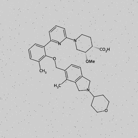 CO[C@@H]1CN(c2cccc(-c3cccc(C)c3OCc3ccc4c(c3C)CN(C3CCOCC3)C4)n2)CC[C@@H]1C(=O)O